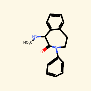 O=C(O)NC1C(=O)N(c2ccccc2)CCc2ccccc21